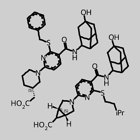 CC(C)CCSc1nc(N2C[C@@H]3C(C(=O)O)[C@@H]3C2)ccc1C(=O)NC1C2CC3CC1CC(O)(C3)C2.O=C(O)C[C@@H]1CCCN(c2ccc(C(=O)NC3C4CC5CC3CC(O)(C5)C4)c(SCc3ccccc3)n2)C1